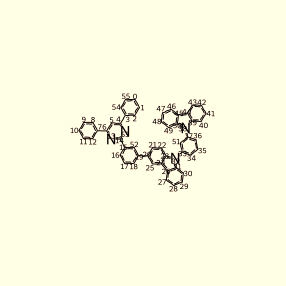 c1ccc(-c2cc(-c3ccccc3)nc(-c3cccc(-c4ccc5c(c4)c4ccccc4n5-c4cccc(-n5c6ccccc6c6ccccc65)c4)c3)n2)cc1